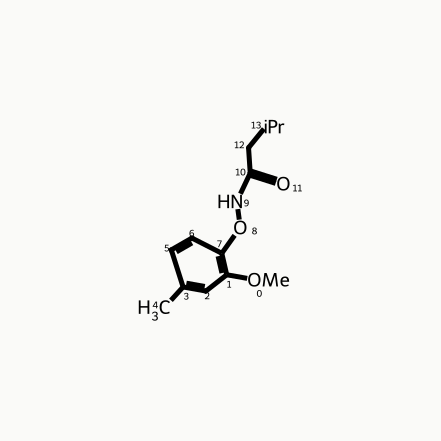 COc1cc(C)ccc1ONC(=O)CC(C)C